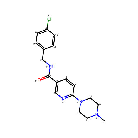 CN1CCN(c2ccc(C(=O)NCc3ccc(Cl)cc3)cn2)CC1